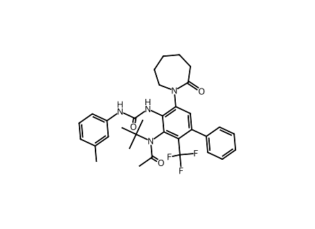 CC(=O)N(c1c(NC(=O)Nc2cccc(C)c2)c(N2CCCCCC2=O)cc(-c2ccccc2)c1C(F)(F)F)C(C)(C)C